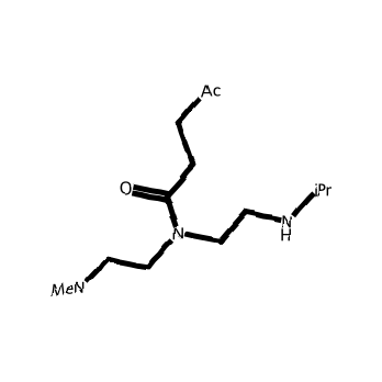 CNCCN(CCNC(C)C)C(=O)CCC(C)=O